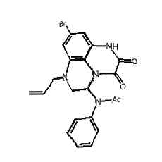 C=CCN1CC(N(C(C)=O)c2ccccc2)n2c(=O)c(=O)[nH]c3cc(Br)cc1c32